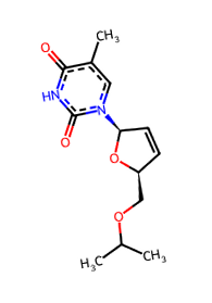 Cc1cn([C@H]2C=C[C@@H](COC(C)C)O2)c(=O)[nH]c1=O